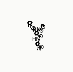 Cc1ccccc1N1CCN(c2ccc(C(=O)NCc3cccc(C(=O)N(C)C)c3)cc2NC(=O)c2ccco2)CC1